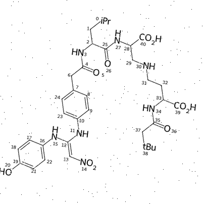 CC(C)CC(NC(=O)Cc1ccc(N/C(=C\[N+](=O)[O-])Nc2ccc(O)cc2)cc1)C(=O)NC(CNCCC(NC(=O)CC(C)(C)C)C(=O)O)C(=O)O